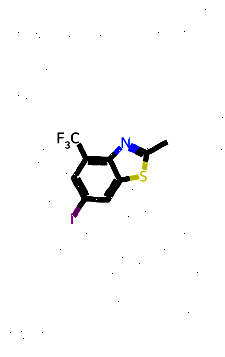 Cc1nc2c(C(F)(F)F)cc(I)cc2s1